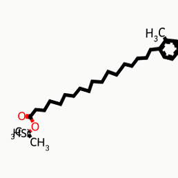 Cc1ccccc1CCCCCCCCCCCCCCCCCC(=O)O[SiH](C)C